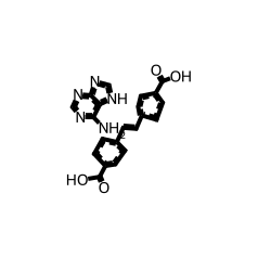 Nc1ncnc2nc[nH]c12.O=C(O)c1ccc(C=Cc2ccc(C(=O)O)cc2)cc1